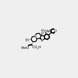 CC[C@@H]1CN2CC[C@@]3(O)C(=Nc4ccc(-c5ccoc5)c(OC)c43)C2C[C@@H]1C(=COC)C(=O)O